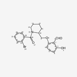 O=Cc1c(O)cccc1OCC1CCCCN1C(=O)c1ccccc1Br